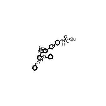 Cn1nc(-c2ccc(OCc3ccccc3)nc2OCc2ccccc2)c2ccc(C3=CCN([C@H]4CC[C@H](CNC(=O)OC(C)(C)C)CC4)CC3)cc21